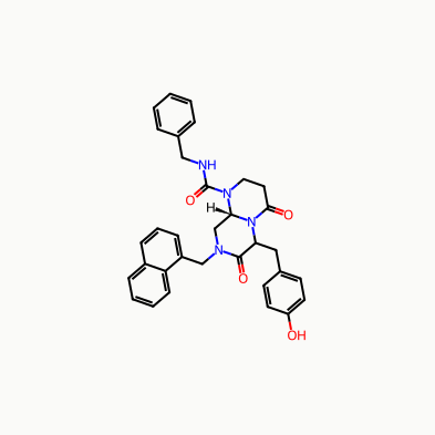 O=C1C(Cc2ccc(O)cc2)N2C(=O)CCN(C(=O)NCc3ccccc3)[C@H]2CN1Cc1cccc2ccccc12